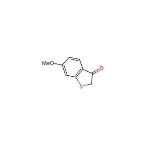 COc1ccc2c(c1)SCC2=O